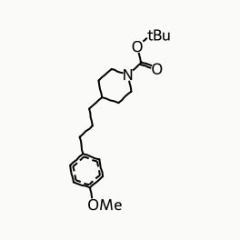 COc1ccc(CCCC2CCN(C(=O)OC(C)(C)C)CC2)cc1